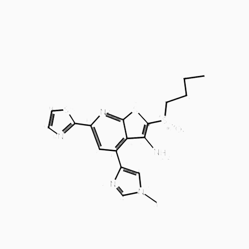 CCCC[S@+]([O-])c1sc2nc(-c3nccs3)cc(-c3cn(C)cn3)c2c1N